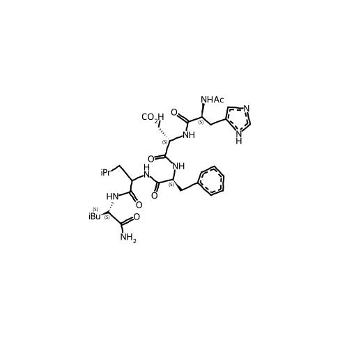 CC[C@H](C)[C@H](NC(=O)C(CC(C)C)NC(=O)[C@H](Cc1ccccc1)NC(=O)[C@H](CC(=O)O)NC(=O)[C@H](Cc1cnc[nH]1)NC(C)=O)C(N)=O